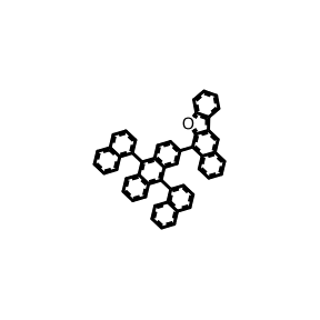 c1ccc2c(-c3c4ccccc4c(-c4cccc5ccccc45)c4cc(-c5c6ccccc6cc6c5oc5ccccc56)ccc34)cccc2c1